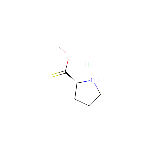 CCOC(=S)[C@@H]1CCCN1.Cl